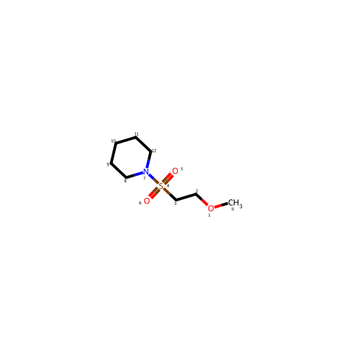 COCCS(=O)(=O)N1CCCCC1